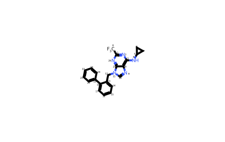 FC(F)(F)c1nc(NC2CC2)c2ncn(Cc3ccccc3-c3ccccc3)c2n1